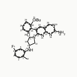 Cc1ccc(F)cc1N[C@H]1CCN(c2nc3nc(N)ncc3cc2-c2c(Cl)cccc2OCC(C)C)C1